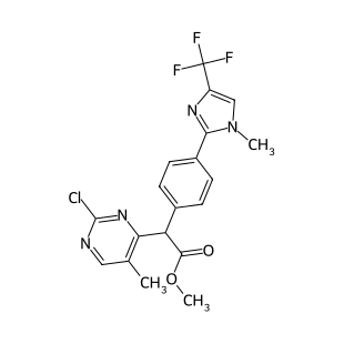 COC(=O)C(c1ccc(-c2nc(C(F)(F)F)cn2C)cc1)c1nc(Cl)ncc1C